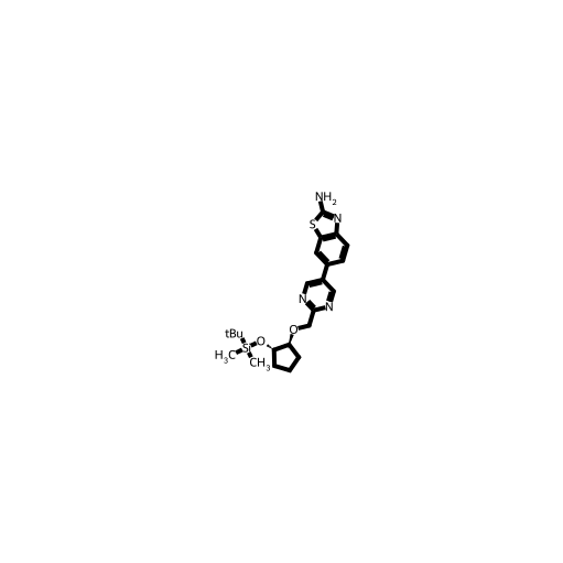 CC(C)(C)[Si](C)(C)O[C@H]1CCC[C@@H]1OCc1ncc(-c2ccc3nc(N)sc3c2)cn1